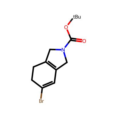 CC(C)(C)OC(=O)N1CC2=C(CCC(Br)=C2)C1